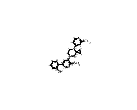 Cc1cc(N2CCN(c3cc(-c4ccccc4O)nnc3N)CC23CC3)ccn1